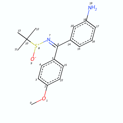 COc1ccc(/C(=N\[S+]([O-])C(C)(C)C)c2cccc(N)c2)cc1